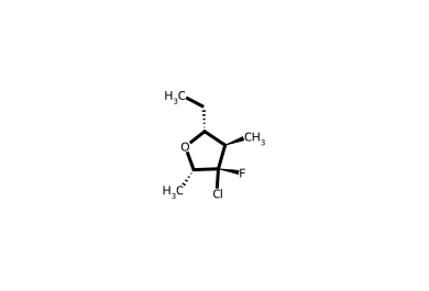 CC[C@H]1O[C@@H](C)[C@@](F)(Cl)[C@@H]1C